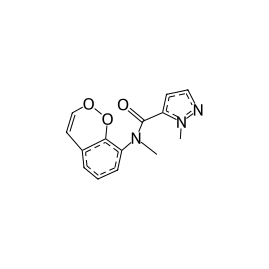 CN(C(=O)c1ccnn1C)c1cccc2c1OOC=C2